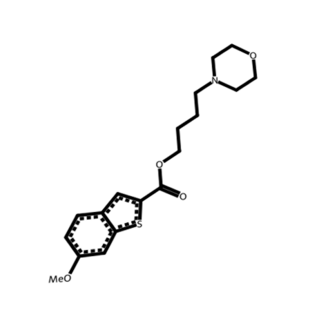 COc1ccc2cc(C(=O)OCCCCN3CCOCC3)sc2c1